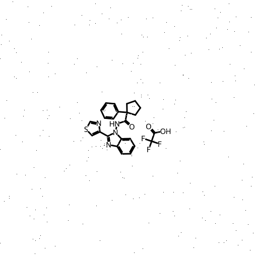 O=C(Nn1c(-c2cscn2)nc2ccccc21)C1(c2ccccc2)CCCC1.O=C(O)C(F)(F)F